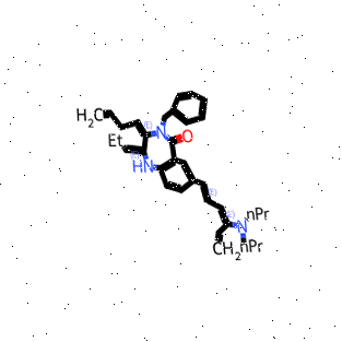 C=CC/C=C1\C(=C/CC)Nc2ccc(/C=C/C=C(\C=C)N(CCC)CCC)cc2C(=O)N1Cc1ccccc1